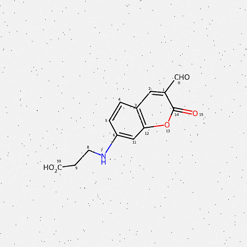 O=Cc1cc2ccc(NCCC(=O)O)cc2oc1=O